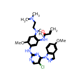 C=CC(=O)Nc1cc(Nc2ncc(Cl)c(-n3ncc4cc(OC)ccc43)n2)c(OC)cc1N(C)CCN(C)C